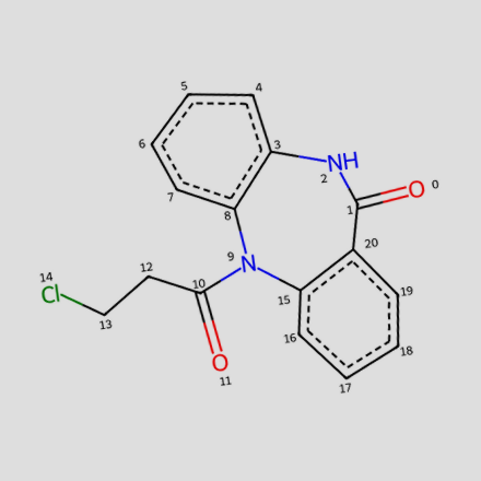 O=C1Nc2ccccc2N(C(=O)CCCl)c2ccccc21